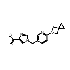 O=C(O)c1cn(Cc2ccc(N3CC4(CC4)C3)nc2)cn1